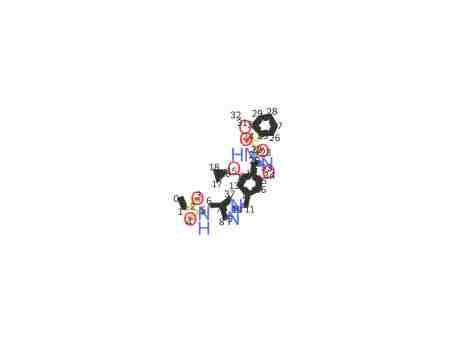 C=CS(=O)(=O)NCc1cnn(Cc2cc(OC3CC3)c3c(NS(=O)(=O)c4ccccc4OC)noc3c2)c1